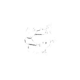 NC1=NN(N)NC=C1c1cccc(Cl)c1Cl.O=S(=O)(O)CCO